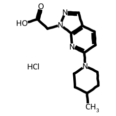 CC1CCN(c2ccc3cnn(CC(=O)O)c3n2)CC1.Cl